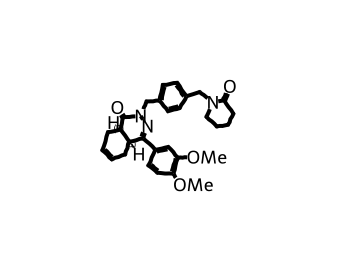 COc1ccc(C2=NN(Cc3ccc(CN4CCCCC4=O)cc3)C(=O)[C@@H]3CC=CC[C@H]23)cc1OC